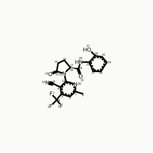 Cc1cc(C(F)(F)F)c(C#N)c(N2C(=O)CC[C@H]2C(=O)Nc2ccccc2O)n1